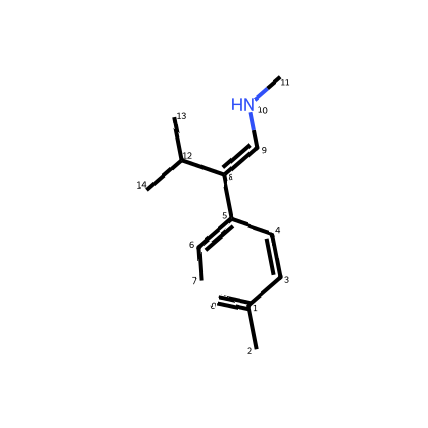 C=C(C)\C=C/C(=C\C)C(=C/NC)/C(C)C